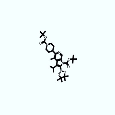 Cc1c(C2CCN(C(=O)OC(C)(C)C)CC2)ncc2c1c(C(C)C)c(B1OC(C)(C)C(C)(C)O1)n2C(=O)OC(C)(C)C